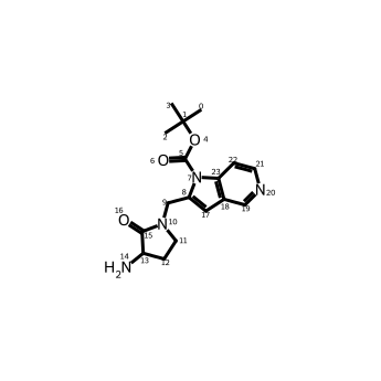 CC(C)(C)OC(=O)n1c(CN2CCC(N)C2=O)cc2cnccc21